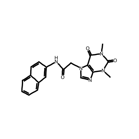 Cn1c(=O)c2c(ncn2CC(=O)Nc2ccc3ccccc3c2)n(C)c1=O